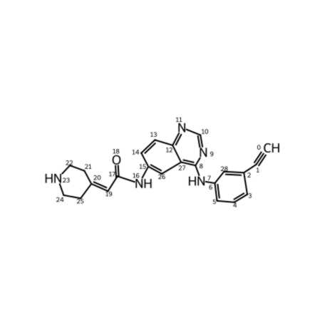 C#Cc1cccc(Nc2ncnc3ccc(NC(=O)C=C4CCNCC4)cc23)c1